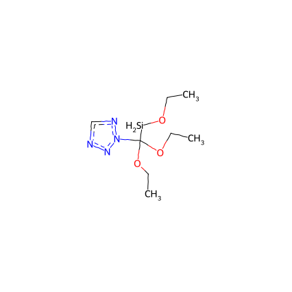 CCO[SiH2]C(OCC)(OCC)n1ncnn1